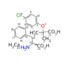 CC(C)(Oc1ccc(Cl)cc1)C(=O)O.N[C@@H](Cc1ccccc1)C(=O)O.[CaH2]